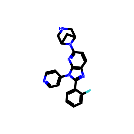 Fc1ccccc1-c1nc2ccc(N3C4CNCC3C4)nc2n1-c1ccncc1